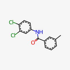 Cc1cccc(C(=O)Nc2ccc(Cl)c(Cl)c2)c1